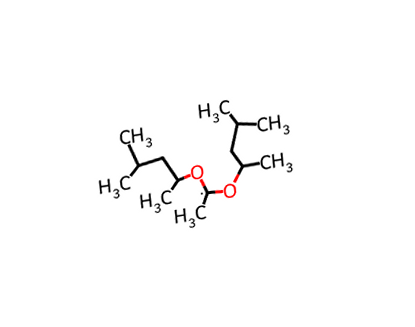 C[C](OC(C)CC(C)C)OC(C)CC(C)C